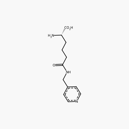 N[C@@H](CCCC(=O)NCc1ccncc1)C(=O)O